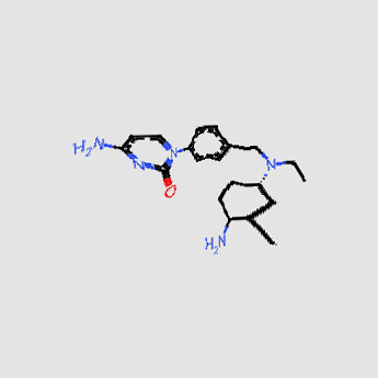 CCN(Cc1ccc(-n2ccc(N)nc2=O)cc1)[C@H]1CCC(N)C(C)C1